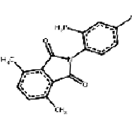 Cc1ccc(C)c2c1C(=O)N(c1ccc(F)cc1P)C2=O